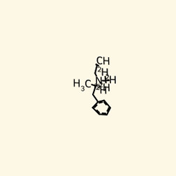 [2H]C([2H])([2H])N(CC#C)[C@]([2H])(C)Cc1ccccc1